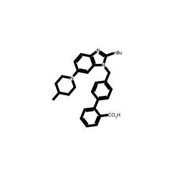 CCCCc1nc2ccc(N3CCC(C)CC3)cc2n1Cc1ccc(-c2ccccc2C(=O)O)cc1